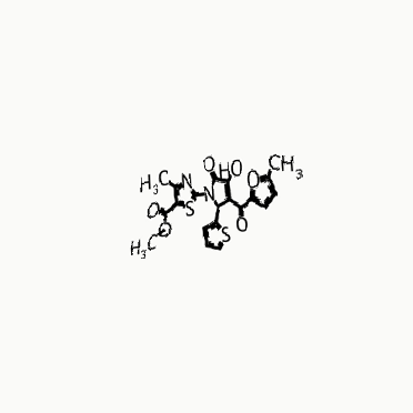 COC(=O)c1sc(N2C(=O)C(O)=C(C(=O)c3ccc(C)o3)C2c2cccs2)nc1C